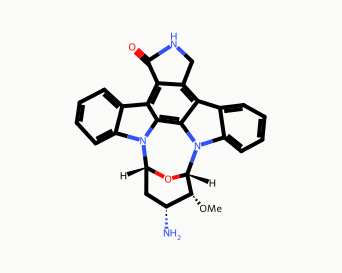 CO[C@@H]1[C@H](N)C[C@H]2O[C@@H]1n1c3ccccc3c3c4c(c5c6ccccc6n2c5c31)C(=O)NC4